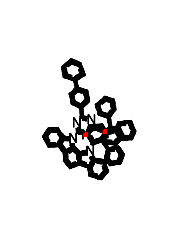 c1ccc(-c2ccc(-c3nc(-c4ccccc4-c4ccccc4)nc(-n4c5ccccc5c5ccc6c7ccccc7n(-c7cccc(-c8ccccc8)c7-c7ccccc7)c6c54)n3)cc2)cc1